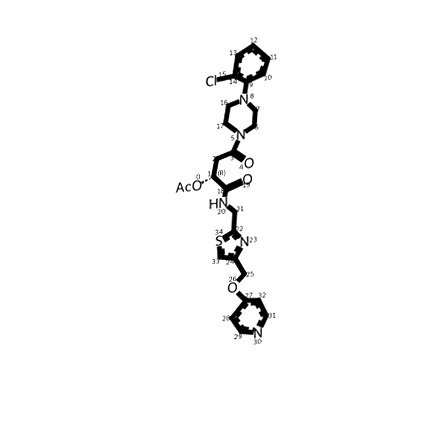 CC(=O)O[C@H](CC(=O)N1CCN(c2ccccc2Cl)CC1)C(=O)NCc1nc(COc2ccncc2)cs1